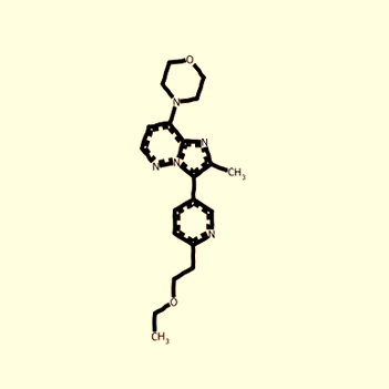 CCOCCc1ccc(-c2c(C)nc3c(N4CCOCC4)ccnn23)cn1